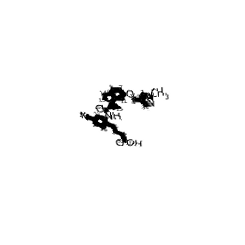 Cn1cc(COc2ccc3c(c2)[C@]2(CC3)C[C@H]2C(=O)Nc2cc(C#N)ccc2CCCC(=O)O)cn1